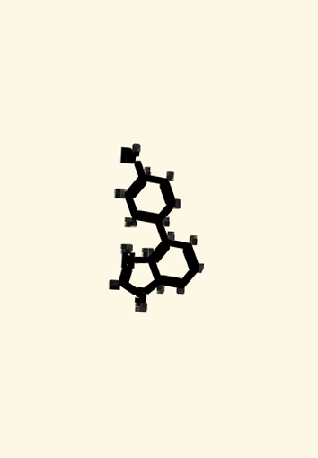 Brc1ccc(-c2cccc3scnc23)cc1